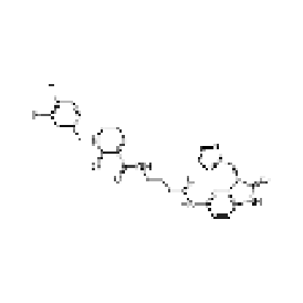 O=C(CCCNC(=O)c1cccn(Cc2ccc(F)c(F)c2)c1=O)Nc1ccc2c(c1)/C(=C\c1cccs1)C(=O)N2